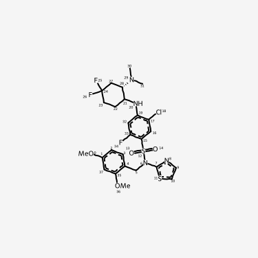 COc1ccc(CN(c2nccs2)S(=O)(=O)c2cc(Cl)c(NC3CCC(F)(F)C[C@@H]3N(C)C)cc2F)c(OC)c1